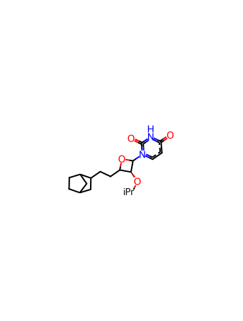 CC(C)O[C@H]1C(CCC2CC3CCC2C3)OC1n1ccc(=O)[nH]c1=O